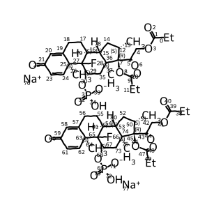 CCC(=O)OCC(=O)[C@@]1(OC(=O)CC)[C@@H](C)C[C@H]2[C@@H]3CCC4=CC(=O)C=C[C@]4(C)C3(F)[C@@H](OP(=O)([O-])O)C[C@@]21C.CCC(=O)OCC(=O)[C@@]1(OC(=O)CC)[C@@H](C)C[C@H]2[C@@H]3CCC4=CC(=O)C=C[C@]4(C)C3(F)[C@@H](OP(=O)([O-])O)C[C@@]21C.[Na+].[Na+]